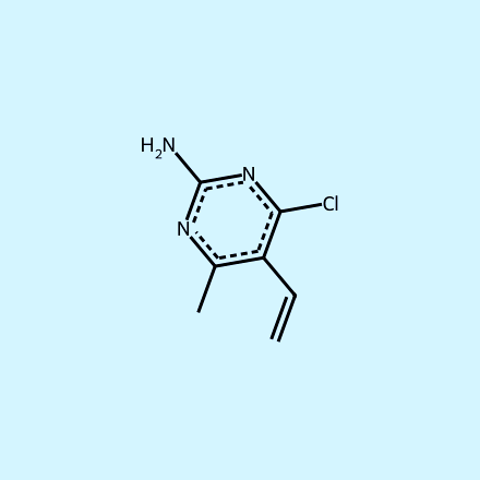 C=Cc1c(C)nc(N)nc1Cl